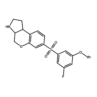 CC(C)Oc1cc(F)cc(S(=O)(=O)c2ccc3c(c2)OCC2NCCC32)c1